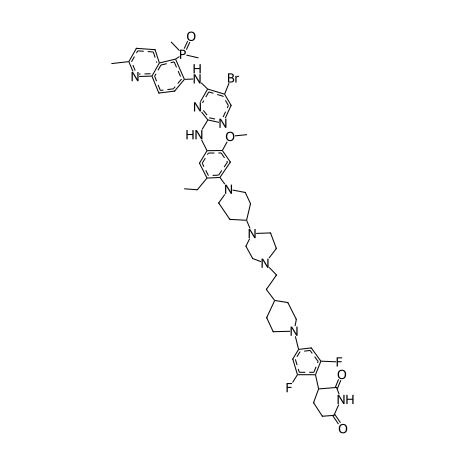 CCc1cc(Nc2ncc(Br)c(Nc3ccc4nc(C)ccc4c3P(C)(C)=O)n2)c(OC)cc1N1CCC(N2CCN(CCC3CCN(c4cc(F)c(C5CCC(=O)NC5=O)c(F)c4)CC3)CC2)CC1